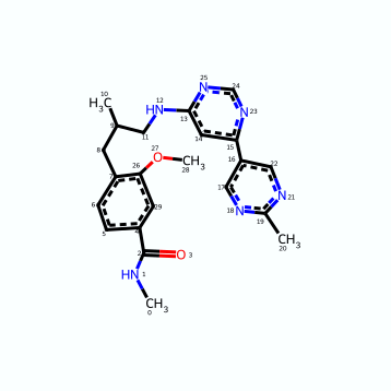 CNC(=O)c1ccc(CC(C)CNc2cc(-c3cnc(C)nc3)ncn2)c(OC)c1